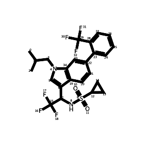 CC(C)Cn1cc(C(NS(=O)(=O)C2CC2)C(F)(F)F)c2ccc(-c3ccccc3C(F)(F)F)cc21